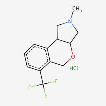 CN1CC2OCc3c(cccc3C(F)(F)F)C2C1.Cl